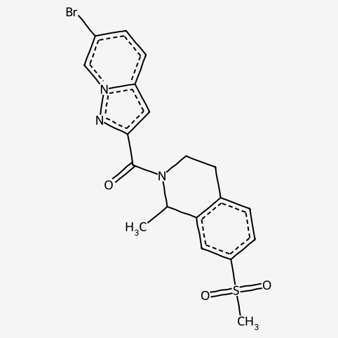 CC1c2cc(S(C)(=O)=O)ccc2CCN1C(=O)c1cc2ccc(Br)cn2n1